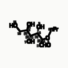 CCCO[C@@H](C=O)[C@@H](O)[C@H](O)[C@H](O)CO